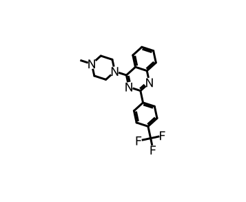 CN1CCN(c2nc(-c3ccc(C(F)(F)F)cc3)nc3ccccc23)CC1